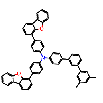 Cc1cc(C)cc(-c2cccc(-c3ccc(N(c4ccc(-c5cccc6c5oc5ccccc56)cc4)c4ccc(-c5cccc6c5oc5ccccc56)cc4)cc3)c2)c1